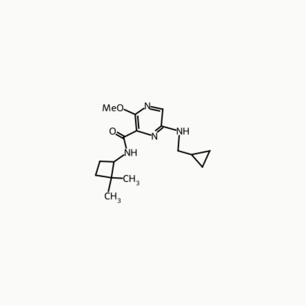 COc1ncc(NCC2CC2)nc1C(=O)NC1CCC1(C)C